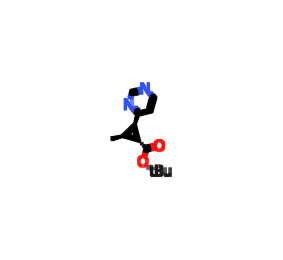 C[C@@H]1[C@@H](C(=O)OC(C)(C)C)[C@@H]1c1ccncn1